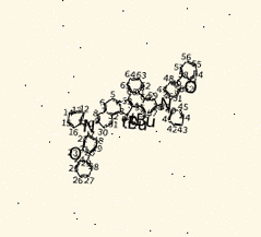 CC(C)(C)C1(C(C)(C)C)c2c(ccc3cc(N(c4ccccc4)c4ccc5c(c4)oc4ccccc45)ccc23)-c2c1c1ccc(N(c3ccccc3)c3ccc4c(c3)oc3ccccc34)cc1c1ccccc21